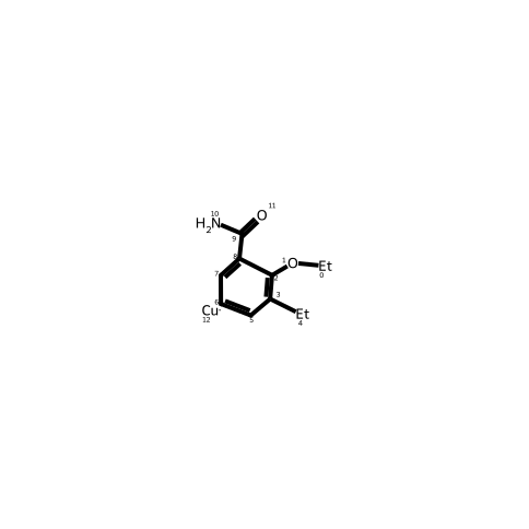 CCOc1c(CC)cccc1C(N)=O.[Cu]